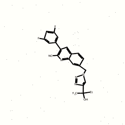 CCC(O)(c1cn(Cc2ccc3cc(-c4cc(F)cc(F)c4)c(C#N)nc3c2)nn1)C(F)(F)F